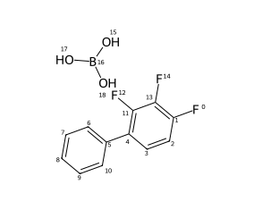 Fc1ccc(-c2ccccc2)c(F)c1F.OB(O)O